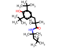 CC(C)(C)CC(C)(C)NC(=O)C(C)(C)Cc1cc(C(C)(C)C)c(O)c(C(C)(C)C)c1